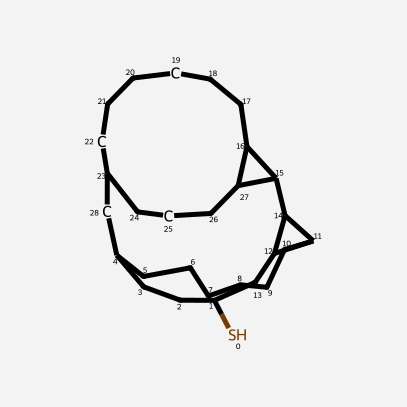 SC1CCC2CCCCCCC3C(C1)C3C1C3CCCCCCC(CCCC31)C2